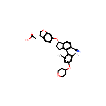 Cc1cc(OC2CCOCC2)cc(C)c1-c1c(C#N)ccc2c1CC[C@H]2Oc1ccc2c(c1)OC[C@H]2CC(=O)O